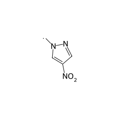 [CH2]n1cc([N+](=O)[O-])cn1